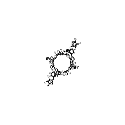 Cc1nn(Cc2ccc(C[C@H]3OC(=O)[C@H](CC(C)C)N(C)C(=O)[C@@H](C)OC(=O)[C@H](CC(C)C)N(C)C(=O)[C@@H](Cc4ccc(Cn5nc(C)c(C)c5C)cc4)OC(=O)[C@H](CC(C)C)N(C)C(=O)[C@@H](C)OC(=O)[C@H](CC(C)C)N(C)C3=O)cc2)c(C)c1C